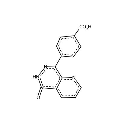 O=C(O)c1ccc(-c2n[nH]c(=O)c3cccnc23)cc1